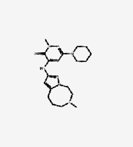 CN1CCCc2cc(Nc3cc(N4CCCCC4)nn(C)c3=O)nn2CC1